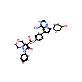 Nc1ncnn2c1c(-c1ccc(NC(=O)c3c4n(n(-c5ccccc5)c3=O)CCOC4)cc1)cc2[C@H]1CC[C@H](O)CC1